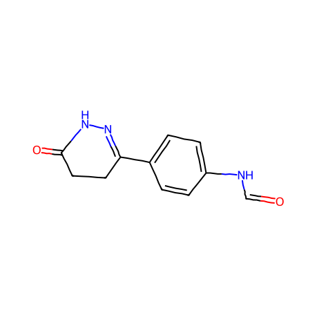 O=CNc1ccc(C2=NNC(=O)CC2)cc1